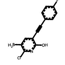 Bc1cc(C#Cc2ccc(F)cc2)c(O)nc1Cl